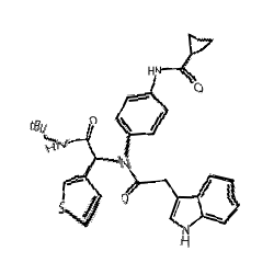 CC(C)(C)NC(=O)C(c1ccsc1)N(C(=O)Cc1c[nH]c2ccccc12)c1ccc(NC(=O)C2CC2)cc1